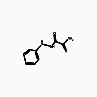 NC(=O)C(=O)NNc1ccccc1